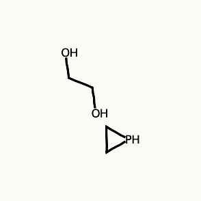 C1CP1.OCCO